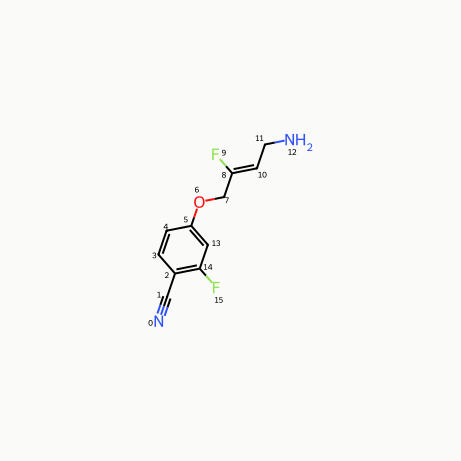 N#Cc1ccc(OCC(F)=CCN)cc1F